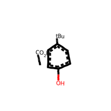 CC(=O)O.CC(C)(C)c1ccc(O)cc1